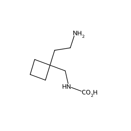 NCCC1(CNC(=O)O)CCC1